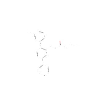 CCOC(=O)CCc1cc(C2=CCCC=C2)ccc1-c1cccc(O)c1